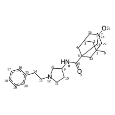 CC12CC3CC(C(=O)NC4CCN(CCc5ccccc5)C4)(C1)C[N+]([O-])(C3)C2